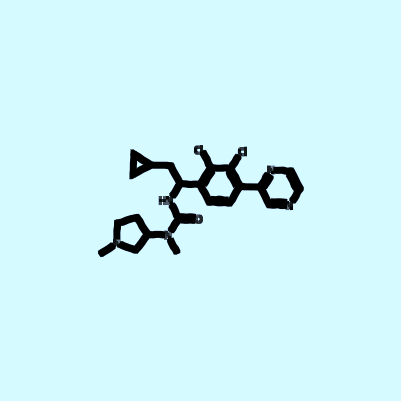 CN1CCC(N(C)C(=O)NC(CC2CC2)c2ccc(-c3cnccn3)c(Cl)c2Cl)C1